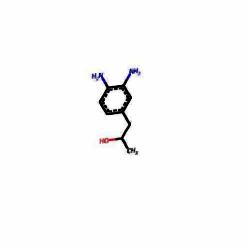 CC(O)Cc1ccc(N)c(N)c1